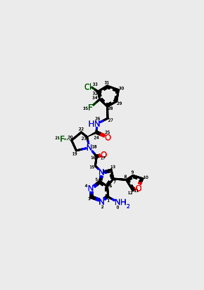 Nc1ncnc2c1c(-c1ccoc1)cn2CC(=O)N1C[C@H](F)C[C@H]1C(=O)NCc1cccc(Cl)c1F